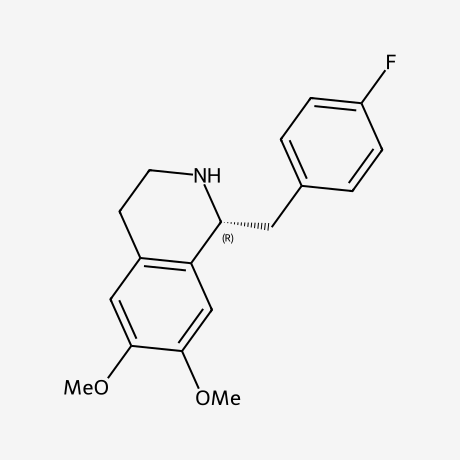 COc1cc2c(cc1OC)[C@@H](Cc1ccc(F)cc1)NCC2